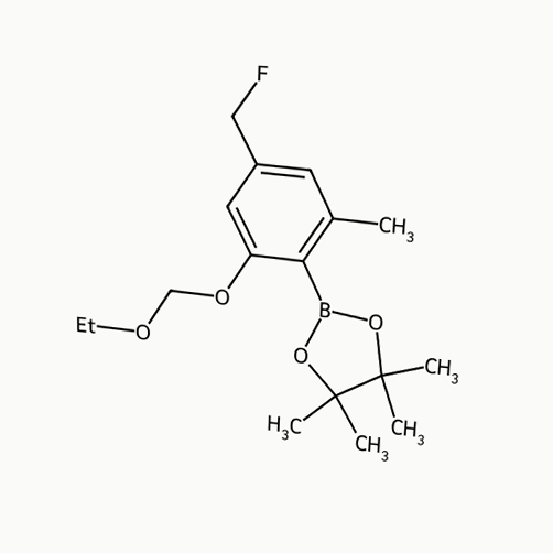 CCOCOc1cc(CF)cc(C)c1B1OC(C)(C)C(C)(C)O1